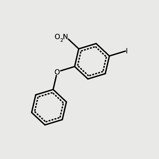 O=[N+]([O-])c1cc(I)ccc1Oc1ccccc1